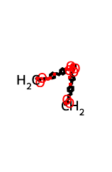 C=CC(=O)OCCCC1CCC(CCC2CCC(COC3OCCOC3OCC3CCC(CCC4CCC(CCCOC(=O)C=C)CC4)CC3)CC2)CC1